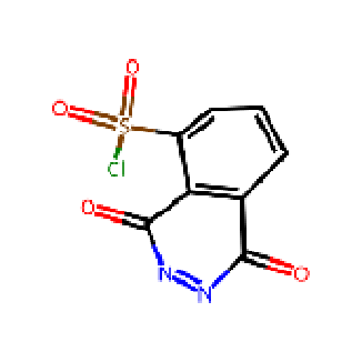 O=C1N=NC(=O)c2c1cccc2S(=O)(=O)Cl